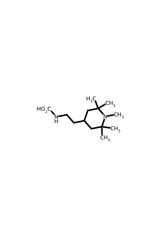 CN1C(C)(C)CC(CCNC(=O)O)CC1(C)C